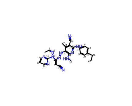 C/C=N\N(C(=C/C#N)/N=N/c1c(NC)nc(Nc2ccc(CC)cc2)c(C#N)c1C)c1ncccn1